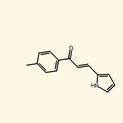 Cc1ccc(C(=O)/C=C/c2ccc[nH]2)cc1